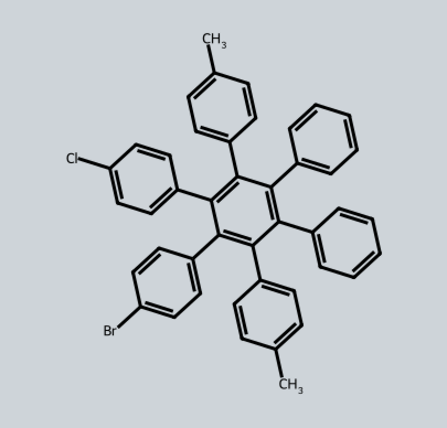 Cc1ccc(-c2c(-c3ccccc3)c(-c3ccccc3)c(-c3ccc(C)cc3)c(-c3ccc(Br)cc3)c2-c2ccc(Cl)cc2)cc1